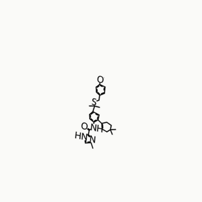 COc1ccc(CSC(C)(C)c2ccc(NC(=O)c3nc(C)c[nH]3)c(C3=CCC(C)(C)CC3)c2)cc1